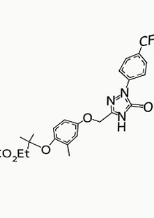 CCOC(=O)C(C)(C)Oc1ccc(OCc2nn(-c3ccc(C(F)(F)F)cc3)c(=O)[nH]2)cc1C